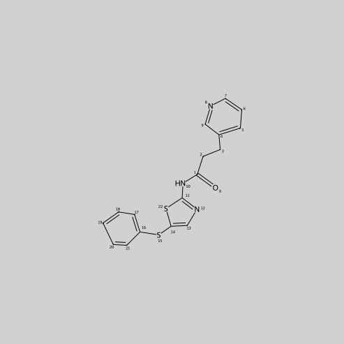 O=C(CCc1cccnc1)Nc1ncc(Sc2ccccc2)s1